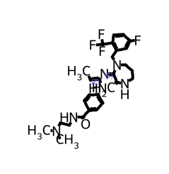 C=C1NCCCN(Cc2cc(F)ccc2C(F)(F)F)/C1=N/C(=C\C)Nc1ccc(C(=O)NCCN(C)C)cc1